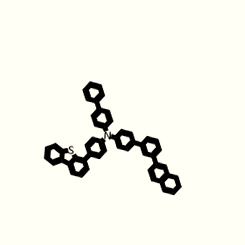 C1=Cc2ccc(-c3cccc(-c4ccc(N(c5ccc(-c6ccccc6)cc5)c5ccc(-c6cccc7c6sc6ccccc67)cc5)cc4)c3)cc2CC1